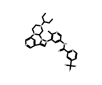 CCC(CC)N1CCN2c3cncc(c3)-c3cn(-c4cc(NC(=O)c5cc(C(F)(F)F)ccn5)cnc4C)n3C2C1